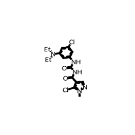 CCN(CC)c1cc(Cl)cc(NC(=O)NC(=O)c2cnn(C)c2Cl)c1